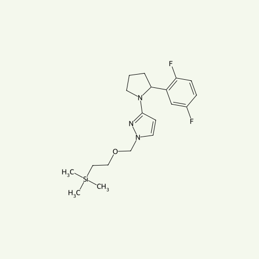 C[Si](C)(C)CCOCn1ccc(N2CCCC2c2cc(F)ccc2F)n1